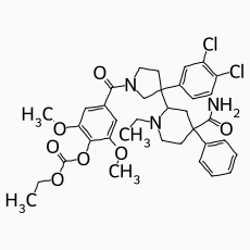 CCOC(=O)Oc1c(OC)cc(C(=O)N2CCC(c3ccc(Cl)c(Cl)c3)(C3CC(C(N)=O)(c4ccccc4)CCN3CC)C2)cc1OC